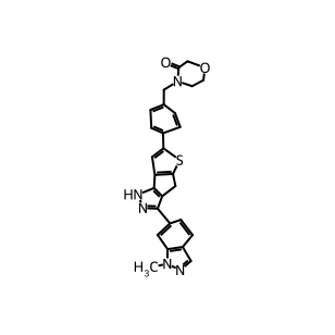 Cn1ncc2ccc(-c3n[nH]c4c3Cc3sc(-c5ccc(CN6CCOCC6=O)cc5)cc3-4)cc21